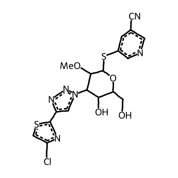 COC1C(Sc2cncc(C#N)c2)OC(CO)C(O)C1n1cc(-c2nc(Cl)cs2)nn1